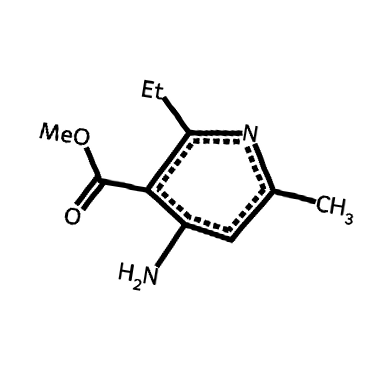 CCc1nc(C)cc(N)c1C(=O)OC